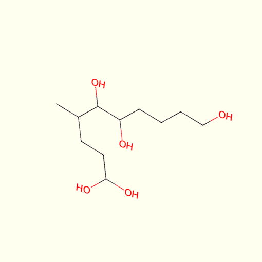 CC(CCC(O)O)C(O)C(O)CCCCO